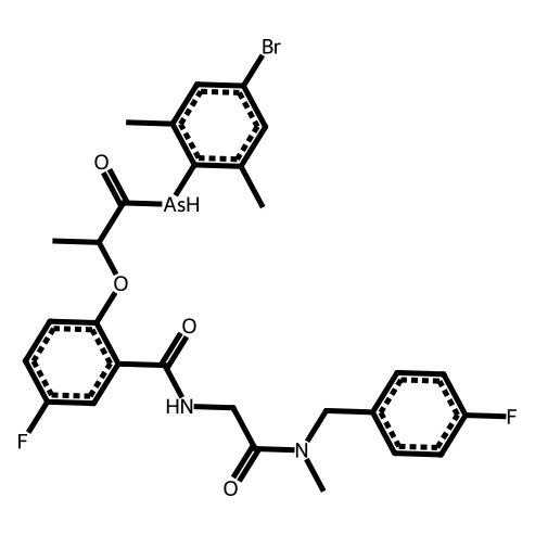 Cc1cc(Br)cc(C)c1[AsH]C(=O)C(C)Oc1ccc(F)cc1C(=O)NCC(=O)N(C)Cc1ccc(F)cc1